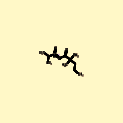 CCCC(C)(C)C(=O)/N=[SH](=O)/C(C)C